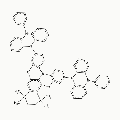 CC1(C)CCC(C)(C)c2c1cc1c3c2Oc2cc(N4c5ccccc5N(c5ccccc5)c5ccccc54)ccc2B3c2ccc(N3c4ccccc4N(c4ccccc4)c4ccccc43)cc2O1